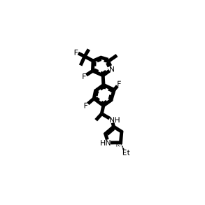 CC[C@H]1CC(NC(C)c2cc(F)c(-c3nc(C)cc(C(C)(C)F)c3F)cc2F)=CN1